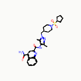 Cc1nn(CC2CCN(S(=O)(=O)C3CCCC3)CC2)c(C)c1NC(=O)c1cc(C(N)=O)c2ccccc2n1